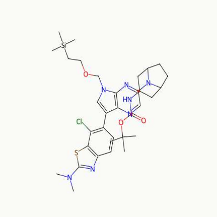 CN(C)c1nc2ccc(-c3cn(COCC[Si](C)(C)C)c4nc(N5C6CCC5CC(NC(=O)OC(C)(C)C)C6)cnc34)c(Cl)c2s1